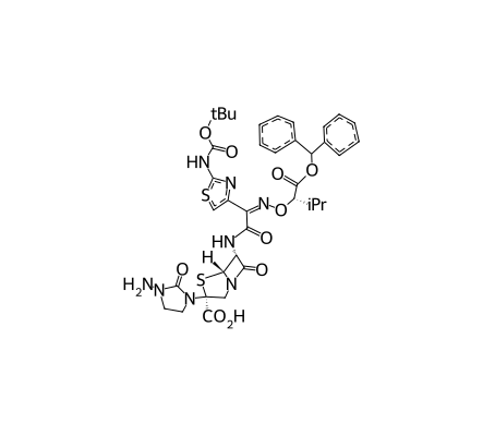 CC(C)[C@H](O/N=C(\C(=O)N[C@@H]1C(=O)N2C[C@@](C(=O)O)(N3CCN(N)C3=O)S[C@H]12)c1csc(NC(=O)OC(C)(C)C)n1)C(=O)OC(c1ccccc1)c1ccccc1